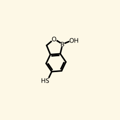 OB1OCc2cc(S)ccc21